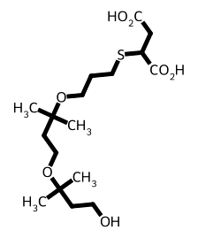 CC(C)(CCO)OCCC(C)(C)OCCCSC(CC(=O)O)C(=O)O